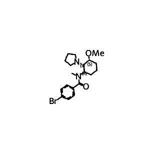 CO[C@H]1CCC[C@@H](N(C)C(=O)c2ccc(Br)cc2)[C@@H]1N1CCCC1